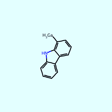 [GaH2][c]1cccc2c1[nH]c1ccccc12